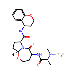 C[C@@H](C(=O)N[C@H]1CCO[C@H]2CC[C@@H](C(=O)N[C@@H]3CCOc4ccccc43)N2C1=O)N(C)C(=O)O